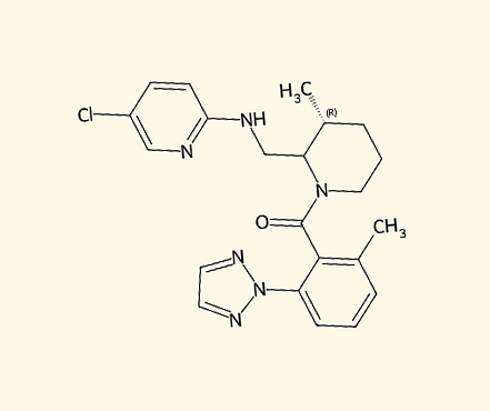 Cc1cccc(-n2nccn2)c1C(=O)N1CCC[C@@H](C)C1CNc1ccc(Cl)cn1